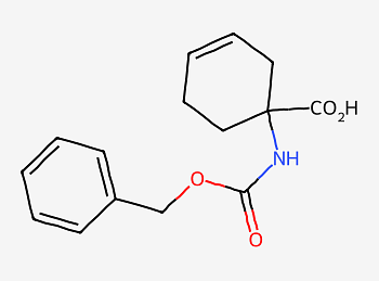 O=C(NC1(C(=O)O)CC=CCC1)OCc1ccccc1